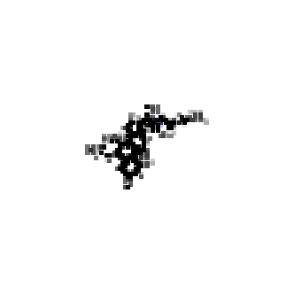 CCOC(=O)/C=C/[C@@H](C)[C@H]1CC[C@H]2[C@@H]3[C@@H](O)[C@@H](CC)C4=CC(=O)CC[C@]4(C)[C@H]3CC[C@]12C